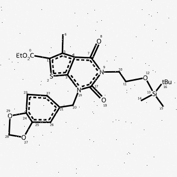 CCOC(=O)c1sc2c(c1C)c(=O)n(CCO[Si](C)(C)C(C)(C)C)c(=O)n2Cc1ccc2c(c1)OCO2